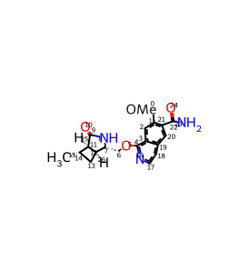 COc1cc2c(OC[C@H]3NC(=O)[C@H]4[C@@H]3C[C@@H]4C)nccc2cc1C(N)=O